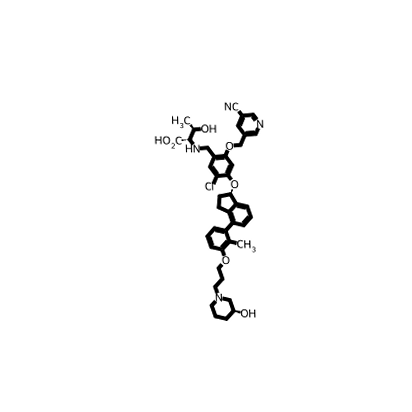 Cc1c(OCCCN2CCC[C@H](O)C2)cccc1-c1cccc2c1CC[C@@H]2Oc1cc(OCc2cncc(C#N)c2)c(CN[C@H](C(=O)O)[C@@H](C)O)cc1Cl